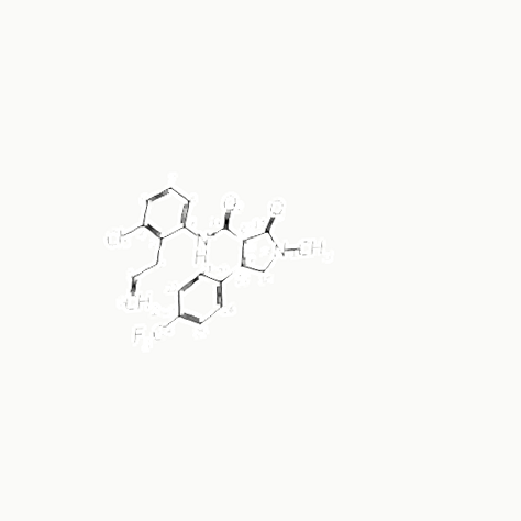 C=CCc1c(Cl)cccc1NC(=O)[C@H]1C(=O)N(C)C[C@H]1c1ccc(C(F)(F)F)cc1